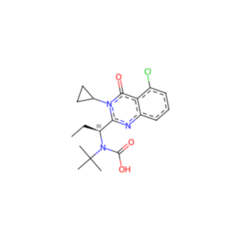 CC[C@@H](c1nc2cccc(Cl)c2c(=O)n1C1CC1)N(C(=O)O)C(C)(C)C